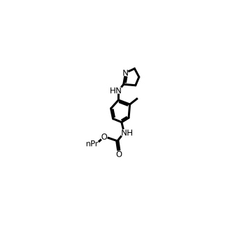 CCCOC(=O)Nc1ccc(NC2=NCCC2)c(C)c1